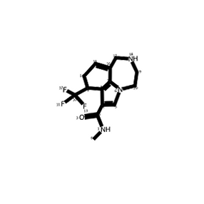 CNC(=O)c1cn2c3c1C(C(F)(F)F)CC=C3CNCC2